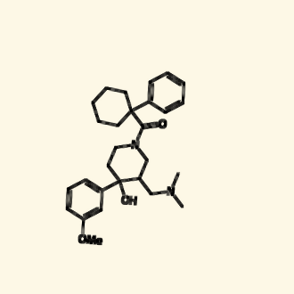 COc1cccc(C2(O)CCN(C(=O)C3(c4ccccc4)CCCCC3)CC2CN(C)C)c1